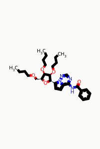 CCCCOC[C@H]1O[C@@H](c2ccc3c(NC(=O)c4ccccc4)ncnn23)[C@H](OCCCC)[C@@H]1OCCCC